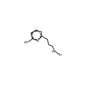 CCCc1ccnc(CCCNCC)n1